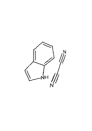 N#CC#N.c1ccc2[nH]ccc2c1